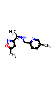 Cc1cc([C@@H](C)NCc2ccc(C(F)(F)F)cn2)no1